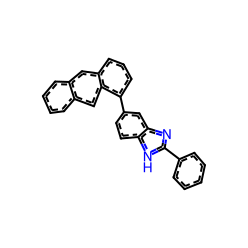 c1ccc(-c2nc3cc(-c4cccc5cc6ccccc6cc45)ccc3[nH]2)cc1